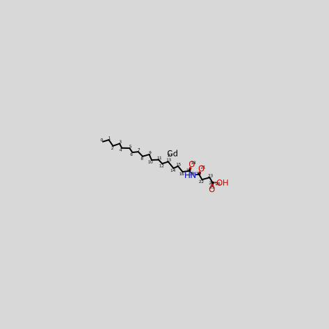 CCCCCCCCCCCCCCCCCC(=O)NC(=O)CCC(=O)O.[Gd]